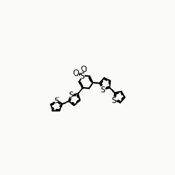 O=S1(=O)C=C(c2ccc(-c3cccs3)s2)CC(c2ccc(-c3cccs3)s2)=C1